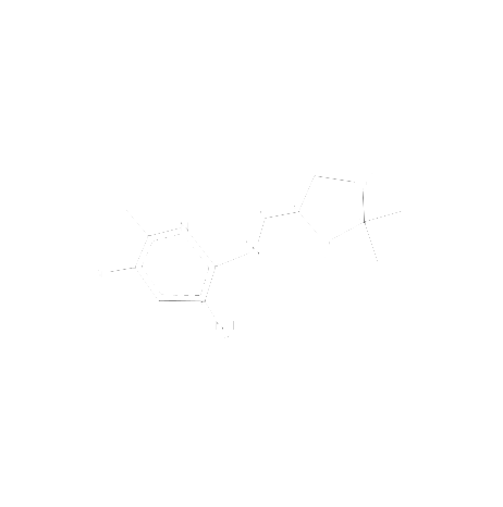 Cc1nc(NCC2COC(C)(C)O2)c(N)cc1Br